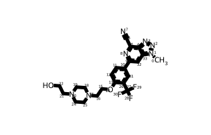 Cn1nnc2c(C#N)nc(-c3ccc(OCCN4CCN(CCO)CC4)c(C(F)(F)F)c3)cc21